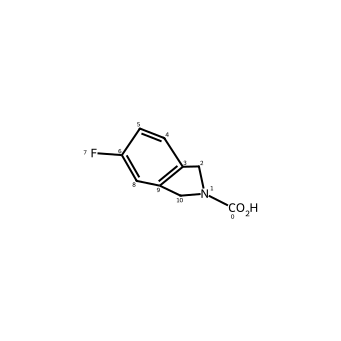 O=C(O)N1Cc2ccc(F)cc2C1